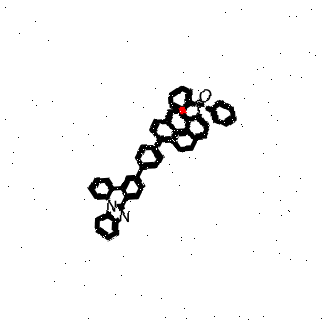 O=P(c1ccccc1)(c1ccccc1)c1ccc2ccc3c(-c4ccc(-c5ccc6c(c5)c5ccccc5n5c7ccccc7nc65)cc4)ccc4ccc1c2c43